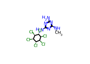 CNc1nc(N)nc(N)n1.Cl[C@H]1[C@H](Cl)[C@@H](Cl)[C@@H](Cl)[C@H](Cl)[C@H]1Cl